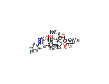 COC1(C(=O)OC2(C(=O)SCC#N)CC[C@H]3C4CCC5=Cc6c(cnn6-c6ccc(F)cc6)CC5(C)[C@H]4C(O)CC32C)CC1